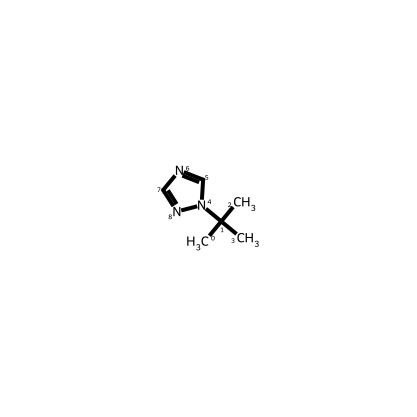 CC(C)(C)n1cn[c]n1